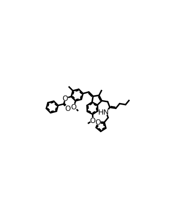 CCC/C=C(\CC1=C(C)/C(=C/c2cc(C)c(OC(=O)c3ccccc3)c(OC)c2)c2ccc(OC)cc21)NCc1ccco1